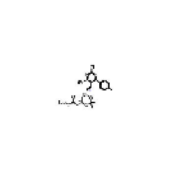 CC(C)c1nc(Cl)nc(-c2ccc(F)cc2)c1/C=C/[C@@H]1C[C@H](CC(=O)OC(C)(C)C)OC(C)(C)O1